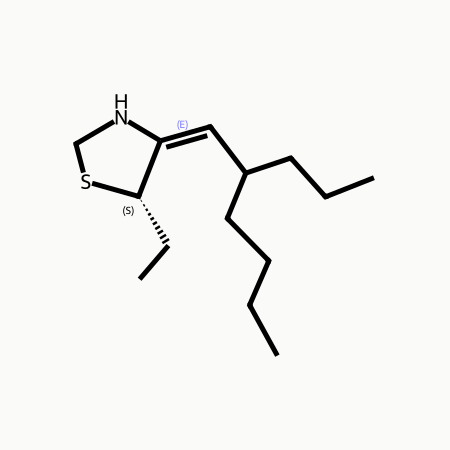 CCCCC(/C=C1/NCS[C@H]1CC)CCC